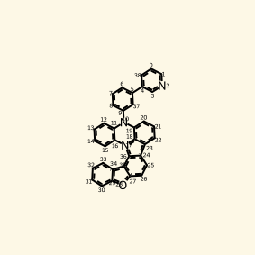 c1cncc(-c2cccc(N3c4ccccc4-n4c5c3cccc5c3ccc5oc6ccccc6c5c34)c2)c1